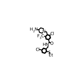 CCSc1ccc(Cl)cc1CNC(=O)c1cc(Cl)c(CN2CCC(N)CC2)c(C(F)(F)F)c1